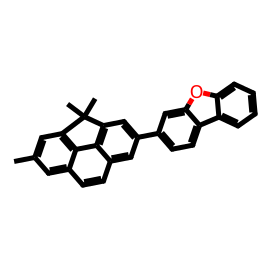 Cc1cc2c3c(ccc4cc(-c5ccc6c(c5)oc5ccccc56)cc(c43)C2(C)C)c1